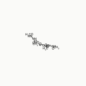 COc1nc(OCc2ccc(COc3ccc(CNCCNC(C)=O)c(OC)n3)o2)ccc1CNCCNC(C)=O